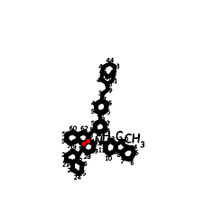 CC1(C)c2ccccc2-c2ccc(N(c3ccc(-c4cccc5ccccc45)cc3)c3ccc(-c4ccc(CCC5CC6CCCC(C6)C5)cc4)cc3-c3ccc4ccccc4c3)cc21